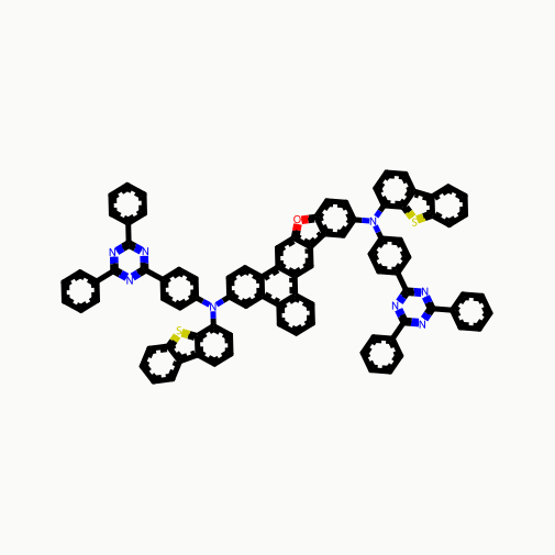 c1ccc(-c2nc(-c3ccccc3)nc(-c3ccc(N(c4ccc5oc6cc7c8ccc(N(c9ccc(-c%10nc(-c%11ccccc%11)nc(-c%11ccccc%11)n%10)cc9)c9cccc%10c9sc9ccccc9%10)cc8c8ccccc8c7cc6c5c4)c4cccc5c4sc4ccccc45)cc3)n2)cc1